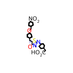 CN1C(=O)/C(=C/c2ccc(OCc3ccc([N+](=O)[O-])cc3)cc2)S/C1=N/c1ccc(CC(=O)O)cc1